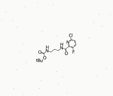 CC(C)(C)OC(=O)NCCCNC(=O)c1nc(Cl)ccc1F